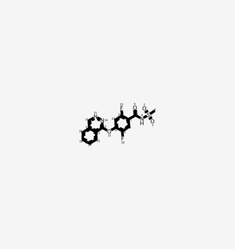 CS(=O)(=O)NC(=O)c1cc(F)c(Oc2nncc3ccccc23)cc1F